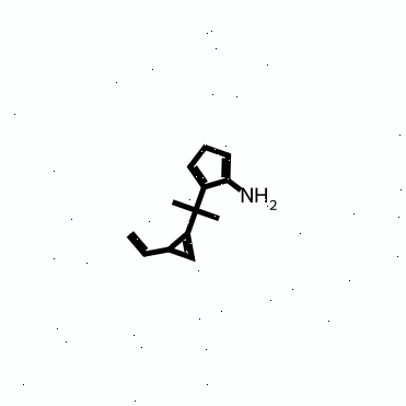 C=CC1C=C1C(C)(C)C1=CCC=C1N